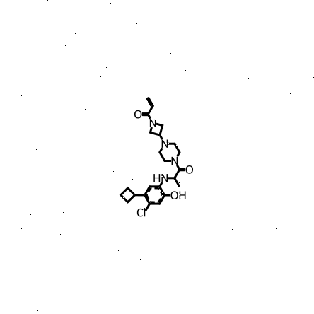 C=CC(=O)N1CC(N2CCN(C(=O)C(C)Nc3cc(C4CCC4)c(Cl)cc3O)CC2)C1